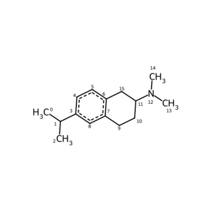 CC(C)c1ccc2c(c1)CCC(N(C)C)C2